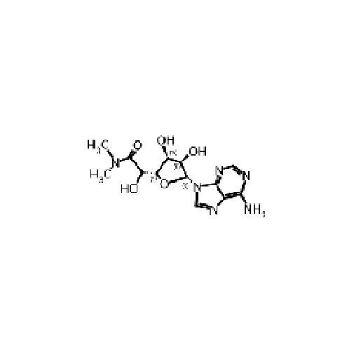 CN(C)C(=O)C(O)[C@H]1O[C@@H](n2cnc3c(N)ncnc32)[C@H](O)[C@@H]1O